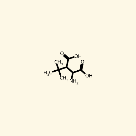 CC(C)(C)C(C(=O)O)C(N)C(=O)O